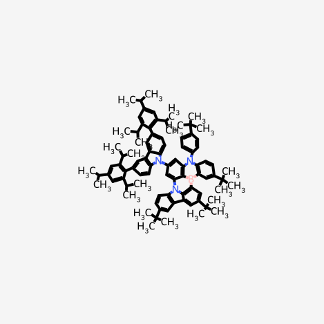 CC(C)c1cc(C(C)C)c(-c2ccc3c(c2)c2cc(-c4c(C(C)C)cc(C(C)C)cc4C(C)C)ccc2n3-c2cc3c4c(c2)-n2c5ccc(C(C)(C)C)cc5c5cc(C(C)(C)C)cc(c52)B4c2cc(C(C)(C)C)ccc2N3c2ccc(C(C)(C)C)cc2)c(C(C)C)c1